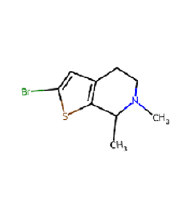 CC1c2sc(Br)cc2CCN1C